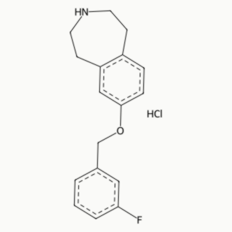 Cl.Fc1cccc(COc2ccc3c(c2)CCNCC3)c1